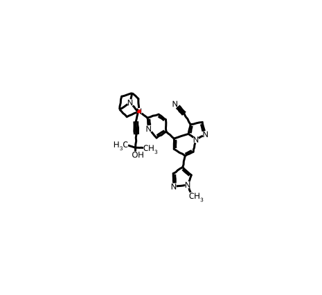 Cn1cc(-c2cc(-c3ccc(N4CC5CC(C4)N5CC#CC(C)(C)O)nc3)c3c(C#N)cnn3c2)cn1